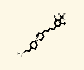 CCCC1CCC([SiH]2CCC(CCCCc3cc(F)c(C(F)(F)F)c(F)c3)CC2)CC1